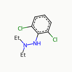 CCN(CC)Nc1c(Cl)cccc1Cl